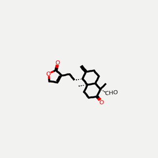 C=C1CCC2[C@](C)(C=O)C(=O)CC[C@@]2(C)[C@@H]1CCC1=CCOC1=O